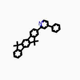 CC1(C)c2ccccc2-c2cc3c(cc21)-c1ccc(-c2cc(-c4ccccc4)ccn2)cc1C3(C)C